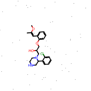 COC(C)=Cc1ccccc1OCC(O)CN1CCNCC1c1ccccc1Cl